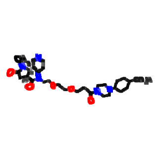 CN1C(=O)C[C@H](C(=O)NCCOCCOCCC(=O)N2CCN(C3CCC(C(=O)O)CC3)CC2)[C@H]1c1cccnc1